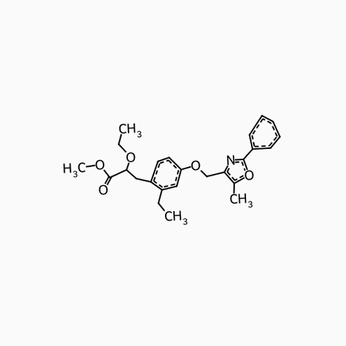 CCOC(Cc1ccc(OCc2nc(-c3ccccc3)oc2C)cc1CC)C(=O)OC